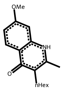 CCCCCCc1c(C)[nH]c2cc(OC)ccc2c1=O